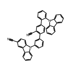 N#Cc1ccc2c(c1)c1ccccc1n2-c1cccc(-c2ccc(-c3ccccc3-n3c4ccccc4c4ccccc43)cc2C#N)c1